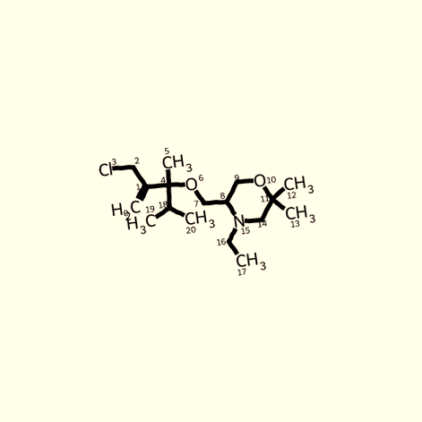 C=C(CCl)C(C)(OCC1COC(C)(C)CN1CC)C(C)C